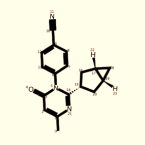 Cc1cc(=O)n(-c2ccc(C#N)cc2)c([C@@H]2C[C@@H]3C[C@@H]3C2)n1